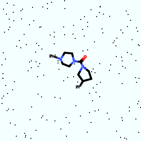 CC(C)C1CCN(C(=O)N2CCN(C(C)C)CC2)C1